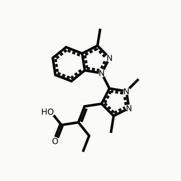 CCC(=Cc1c(C)nn(C)c1-n1nc(C)c2ccccc21)C(=O)O